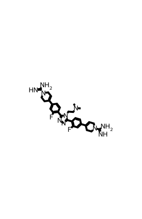 CN(C)CCn1c(-c2ccc(C3=CCN(C(=N)N)CC3)cc2F)nnc1-c1ccc(C2=CCN(C(=N)N)CC2)cc1F